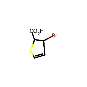 O=C(O)C1SC=CC1Br